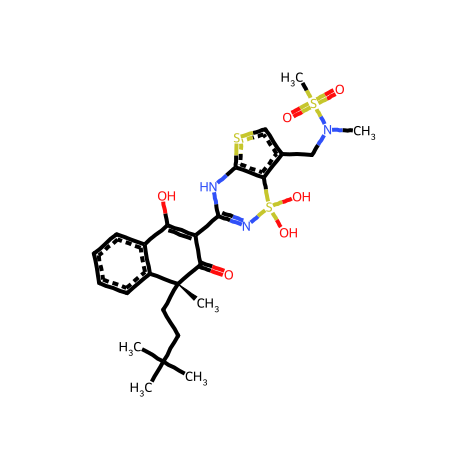 CN(Cc1csc2c1S(O)(O)N=C(C1=C(O)c3ccccc3[C@@](C)(CCC(C)(C)C)C1=O)N2)S(C)(=O)=O